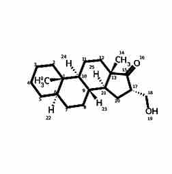 C[C@]12CCCC[C@@H]1CC[C@@H]1[C@@H]2CC[C@]2(C)C(=O)[C@H](CO)C[C@@H]12